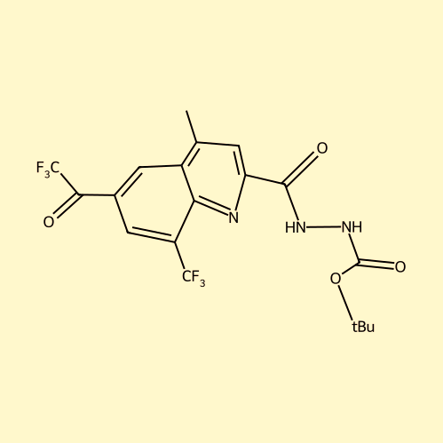 Cc1cc(C(=O)NNC(=O)OC(C)(C)C)nc2c(C(F)(F)F)cc(C(=O)C(F)(F)F)cc12